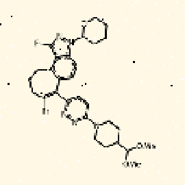 COC(OC)C1CCN(c2ccc(C3=C(Br)CCCc4c3ccc3c4c(F)nn3C3CCCCO3)nn2)CC1